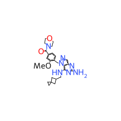 COc1cc(C(=O)N2CCOCC2)ccc1Cn1ncc2nc(N)nc(NCC3CC4(CC4)C3)c21